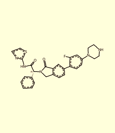 O=C(Nc1nccs1)[C@@H](c1ccccc1)N1Cc2ccc(-c3ccc(N4CCNCC4)cc3F)cc2C1=O